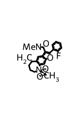 C=C1CCCN(S(C)(=O)=O)c2cc3oc(-c4ccccc4F)c(C(=O)NC)c3cc21